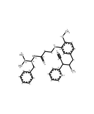 COc1ccc(CC(C)C(C#N)c2ccccn2)cc1OCCC(=O)N[C@@H](Cc1ccccc1)B(O)O